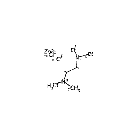 CCN(CC)CCN(C)C.[Cl-].[Cl-].[Zn+2]